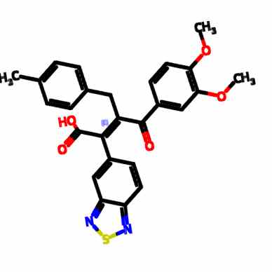 COc1ccc(C(=O)/C(Cc2ccc(C)cc2)=C(/C(=O)O)c2ccc3nsnc3c2)cc1OC